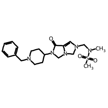 CN(CN1C=C2C(=O)N(C3CCN(Cc4ccccc4)CC3)CN2C1)S(C)(=O)=O